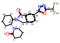 O=C1CCCCN1[C@@H]1CCCC[C@H]1N1Cc2ccc(-c3nnc(C(F)F)o3)cc2C1=O